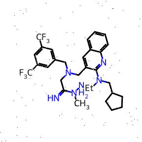 CCN(CC1CCCC1)c1nc2ccccc2cc1CN(CC(=N)N(C)N)Cc1cc(C(F)(F)F)cc(C(F)(F)F)c1